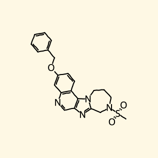 CS(=O)(=O)N1CCCn2c(nc3cnc4cc(OCc5ccccc5)ccc4c32)C1